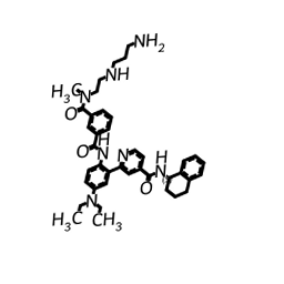 CCN(CC)c1ccc(NC(=O)c2cccc(C(=O)N(C)CCNCCCN)c2)c(-c2cc(C(=O)N[C@H]3CCCc4ccccc43)ccn2)c1